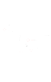 CCCO[Si](CCC1CO1)(OC)OC